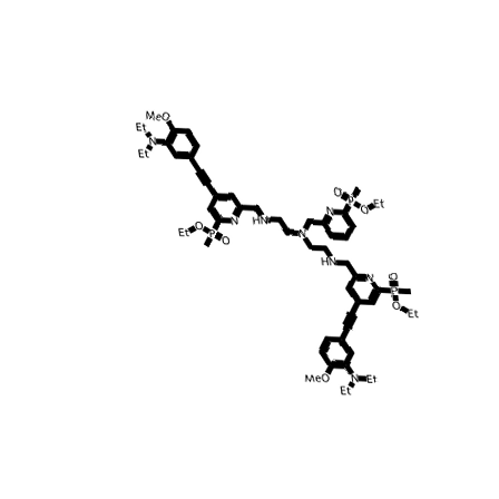 CCOP(C)(=O)c1cc(C#Cc2ccc(OC)c(N(CC)CC)c2)cc(CNCCN(CCNCc2cc(C#Cc3ccc(OC)c(N(CC)CC)c3)cc(P(C)(=O)OCC)n2)Cc2cccc(P(C)(=O)OCC)n2)n1